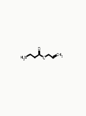 C=CCOC(=O)CCN